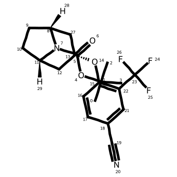 CC(C)(C)OC(=O)N1[C@@H]2CC[C@H]1C[C@@H](Oc1ccc(C#N)cc1C(F)(F)F)C2